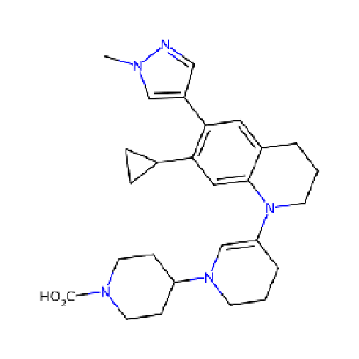 Cn1cc(-c2cc3c(cc2C2CC2)N(C2=CN(C4CCN(C(=O)O)CC4)CCC2)CCC3)cn1